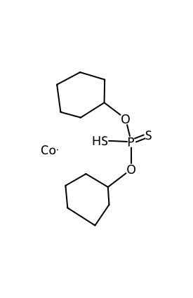 S=P(S)(OC1CCCCC1)OC1CCCCC1.[Co]